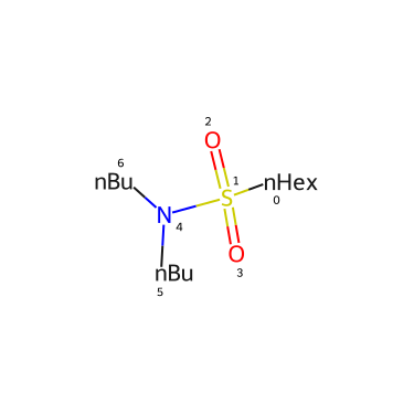 CCCCCCS(=O)(=O)N(CCCC)CCCC